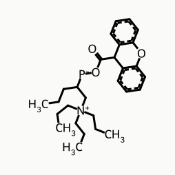 CCCC(C[N+](CCC)(CCC)CCC)[P-]OC(=O)C1c2ccccc2Oc2ccccc21